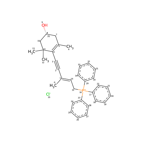 CC(C#CC1=C(C)C[C@@H](O)CC1(C)C)=CC[P+](c1ccccc1)(c1ccccc1)c1ccccc1.[Cl-]